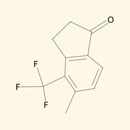 Cc1ccc2c(c1C(F)(F)F)CCC2=O